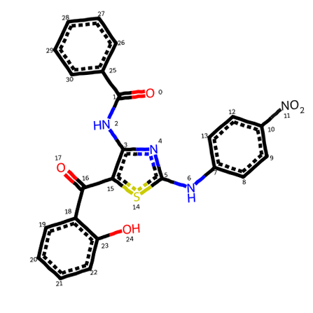 O=C(Nc1nc(Nc2ccc([N+](=O)[O-])cc2)sc1C(=O)c1ccccc1O)c1ccccc1